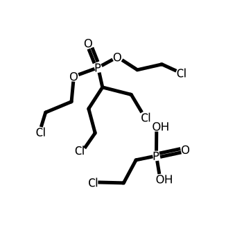 O=P(O)(O)CCCl.O=P(OCCCl)(OCCCl)C(CCl)CCCl